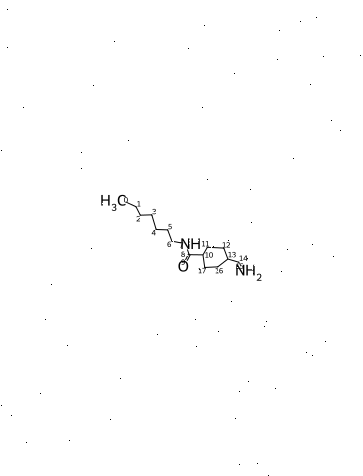 CCCCCCCNC(=O)C1CCC(CN)CC1